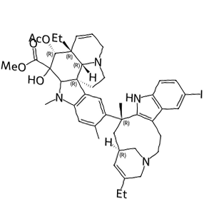 CCC1=C[C@@H]2CN(CCc3c([nH]c4ccc(I)cc34)[C@@](C)(c3cc4c(cc3C)N(C)C3C(O)(C(=O)OC)[C@H](OC(C)=O)[C@]5(CC)C=CCN6CC[C@]43[C@@H]65)C2)C1